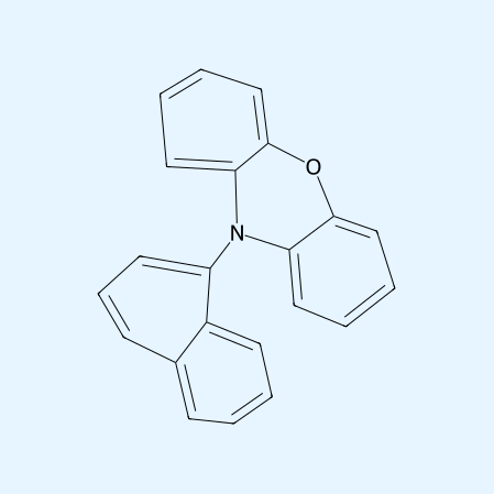 c1ccc2c(c1)Oc1ccccc1N2c1cccc2ccccc12